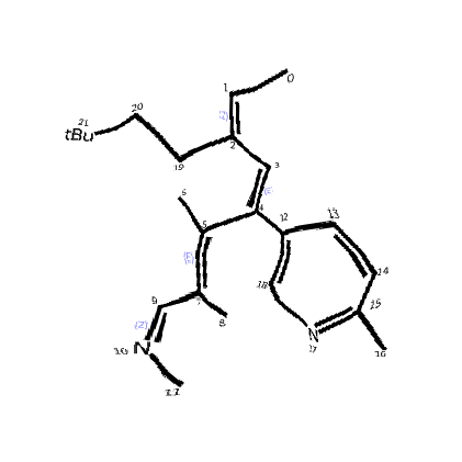 C\C=C(/C=C(\C(C)=C(C)\C=N/C)c1ccc(C)nc1)CCC(C)(C)C